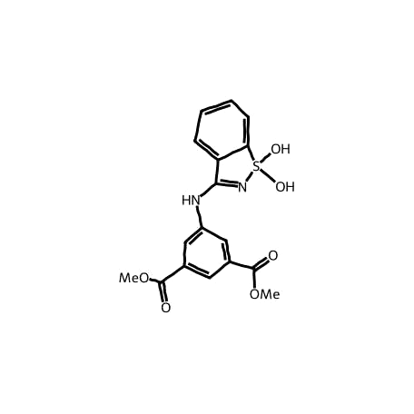 COC(=O)c1cc(NC2=NS(O)(O)c3ccccc32)cc(C(=O)OC)c1